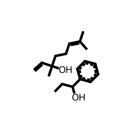 C=CC(C)(O)CCC=C(C)C.CCC(O)c1ccccc1